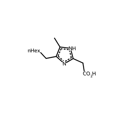 CCCCCCCc1nc(CC(=O)O)[nH]c1C